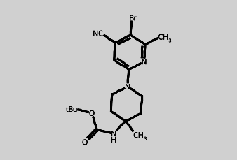 Cc1nc(N2CCC(C)(NC(=O)OC(C)(C)C)CC2)cc(C#N)c1Br